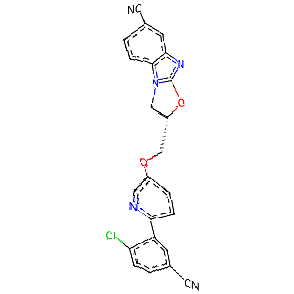 N#Cc1ccc(Cl)c(-c2ccc(OC[C@@H]3Cn4c(nc5cc(C#N)ccc54)O3)cn2)c1